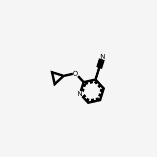 N#Cc1cccnc1OC1CC1